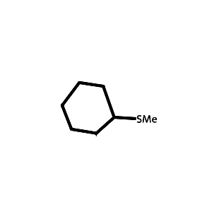 CSC1[CH]CCCC1